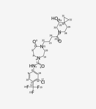 O=C1CCN(C(=O)Nc2ccc(C(F)(F)F)c(Cl)c2)CCN1CCCC(=O)N1CCC2(CC2)[C@H](O)C1